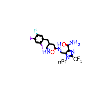 CCCn1c(C(F)(F)F)nc(C(N)=O)c1CNC(=O)CC(C=N)Cc1cc(F)c(I)cc1I